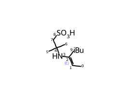 C/C=C(/NC(C)(C)CS(=O)(=O)O)C(C)CC